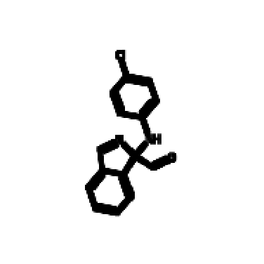 O=CC1(Nc2ccc(Cl)cc2)N=Cc2ccccc21